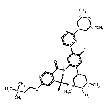 C[C@@H]1CN(c2nccc(-c3cc(NC(=O)c4cnc(OCC[Si](C)(C)C)cc4C(F)(F)F)c(N4C[C@@H](C)N(C)[C@@H](C)C4)cc3F)n2)C[C@H](C)O1